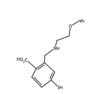 CCCOCCNCc1cc(S)ccc1C(=O)O